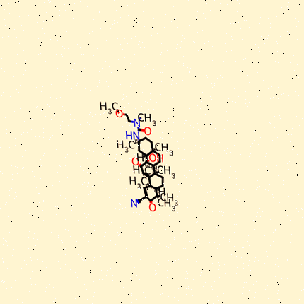 COCCN(C)C(=O)N[C@@]1(C)CC[C@]2(C)CC[C@@]3(C)[C@]4(C)CC[C@H]5C(C)(C)C(=O)C(C#N)=C[C@]5(C)C4=CC(=O)[C@]3(O)[C@@H]2C1